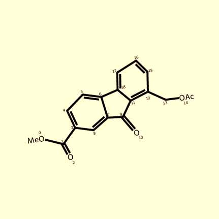 COC(=O)c1ccc2c(c1)C(=O)c1c(COC(C)=O)cccc1-2